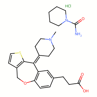 CN1CCC(=C2c3cc(CCC(=O)O)ccc3OCc3ccsc32)CC1.Cl.NC(=O)N1CCCCC1